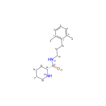 Cc1cccc(C)c1CCCNC(=O)[C@H]1CCCCN1